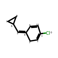 ClC1=CCC(=CC2CC2)C=C1